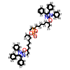 CCC(CCCCCC(CC)O[PH](=O)OC(CC)CCCCCC(CC)Oc1nc(-c2ccccc2)c(-c2ccccc2)n1-c1ccccc1)Oc1nc(-c2ccccc2)c(-c2ccccc2)n1-c1ccccc1